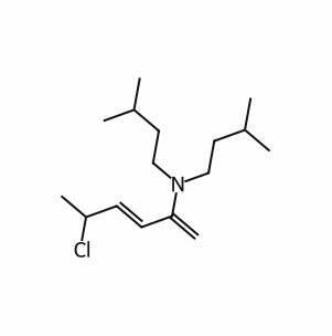 C=C(/C=C/C(C)Cl)N(CCC(C)C)CCC(C)C